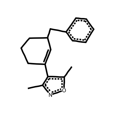 Cc1noc(C)c1C1=CC(Cc2ccccc2)CCC1